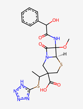 COC1(NC(=O)C(O)c2ccccc2)C(=O)N2CC(C(=O)O)(C(C)Sc3nnn[nH]3)CS[C@@H]21